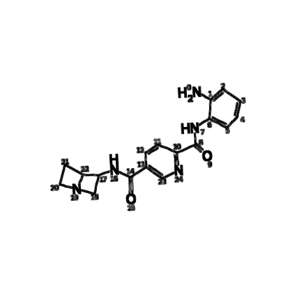 Nc1ccccc1NC(=O)c1ccc(C(=O)NC2CN3CCC23)cn1